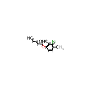 Cc1ccc(OCCCCC#N)c(C=O)c1Br